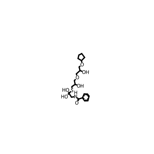 O=C(NCC(O)(O)SCC(O)COCC(O)COC1CCCC1)c1ccccc1